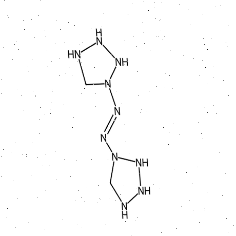 C1NNNN1N=NN1CNNN1